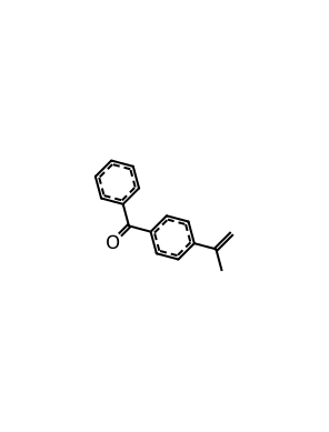 C=C(C)c1ccc(C(=O)c2ccccc2)cc1